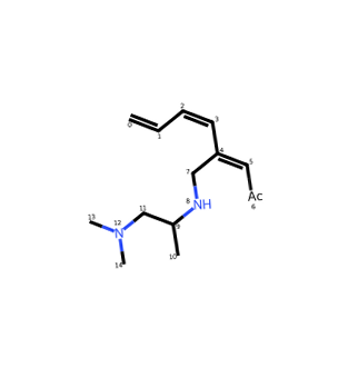 C=C/C=C\C(=C\C(C)=O)CNC(C)CN(C)C